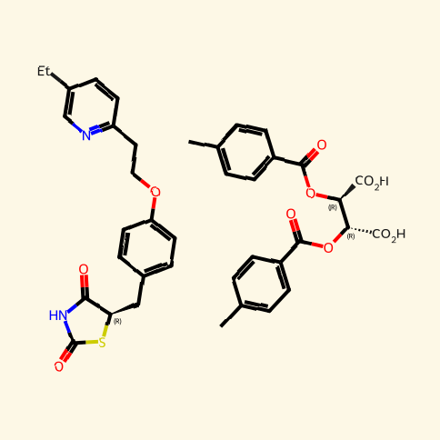 CCc1ccc(CCOc2ccc(C[C@H]3SC(=O)NC3=O)cc2)nc1.Cc1ccc(C(=O)O[C@@H](C(=O)O)[C@@H](OC(=O)c2ccc(C)cc2)C(=O)O)cc1